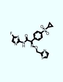 O=C(Nc1ncc(F)s1)/C(=N/OCc1nccs1)c1ccc(S(=O)(=O)C2CC2)cc1